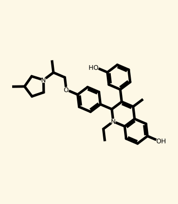 CCN1c2ccc(O)cc2C(C)=C(c2cccc(O)c2)C1c1ccc(OCC(C)N2CCC(C)C2)cc1